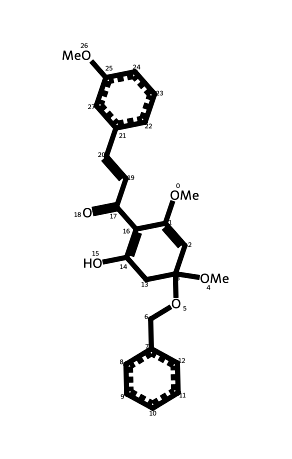 COC1=CC(OC)(OCc2ccccc2)CC(O)=C1C(=O)C=Cc1cccc(OC)c1